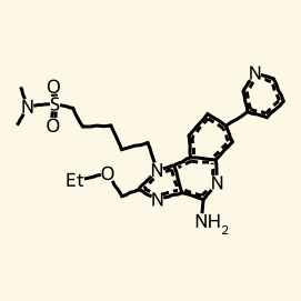 CCOCc1nc2c(N)nc3cc(-c4cccnc4)ccc3c2n1CCCCCS(=O)(=O)N(C)C